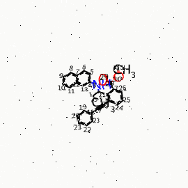 CCC(Nc1ccc2ccccc2c1)c1c(C#Cc2ccccc2)cccc1C(=O)OC